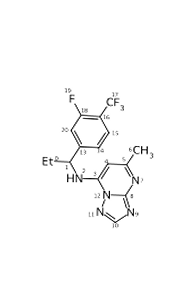 CCC(Nc1cc(C)nc2ncnn12)c1ccc(C(F)(F)F)c(F)c1